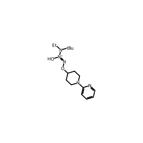 CCN(/[N+](O)=N/OC1CCN(c2ccccn2)CC1)C(C)(C)C